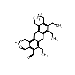 CCc1c(C=O)c(C=O)c(CC)c2c1Cc1c(CC)c(CC)c(CC)c(CC)c1C2